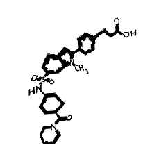 Cn1c(-c2ccc(CCC(=O)O)cc2)cc2ccc(S(=O)(=O)N[C@H]3CC[C@H](C(=O)N4CCCCC4)CC3)cc21